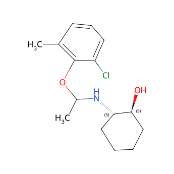 Cc1cccc(Cl)c1OC(C)N[C@H]1CCCC[C@@H]1O